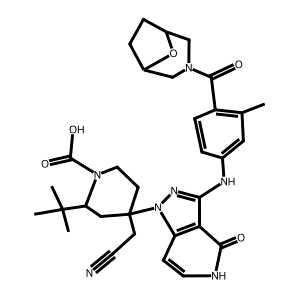 Cc1cc(Nc2nn(C3(CC#N)CCN(C(=O)O)C(C(C)(C)C)C3)c3cc[nH]c(=O)c23)ccc1C(=O)N1CC2CCC(C1)O2